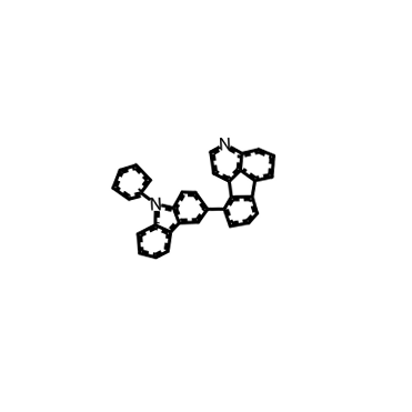 c1ccc(-n2c3ccccc3c3cc(-c4cccc5c4-c4ccnc6cccc-5c46)ccc32)cc1